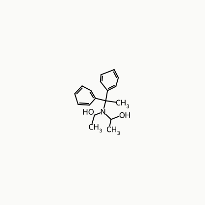 CC(O)N(C(C)O)C(C)(c1ccccc1)c1ccccc1